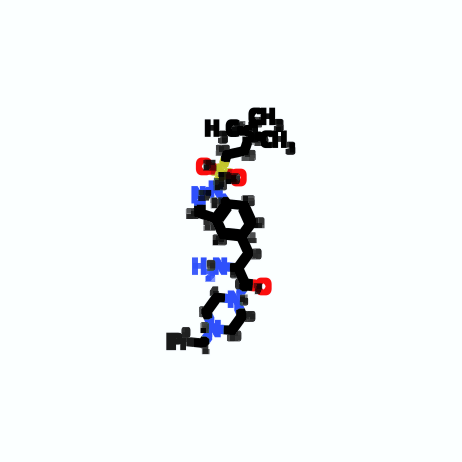 CC(C)CN1CCN(C(=O)C(N)Cc2ccc3c(cnn3S(=O)(=O)CC[Si](C)(C)C)c2)CC1